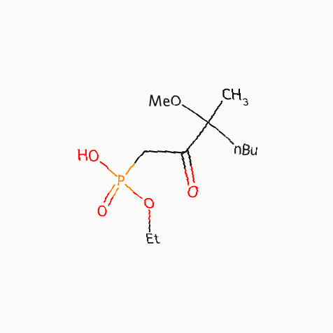 CCCCC(C)(OC)C(=O)CP(=O)(O)OCC